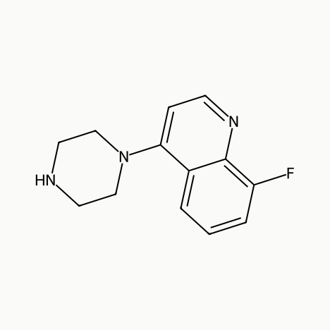 Fc1cccc2c(N3CCNCC3)ccnc12